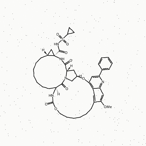 COc1cc2nc(-c3ccccc3)cc3c2cc1CCCCCCOC(=O)N[C@H]1CCCCCCC[C@@H]2C[C@@]2(C(=O)NS(=O)(=O)C2CC2)NC(=O)[C@@H]2C[C@H](CN2C1=O)O3